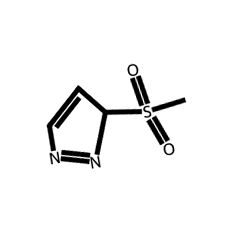 CS(=O)(=O)C1C=CN=N1